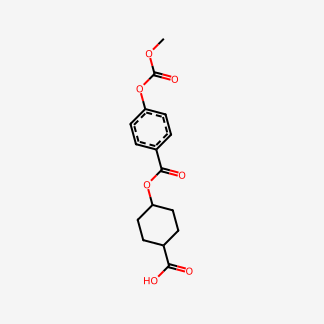 COC(=O)Oc1ccc(C(=O)OC2CCC(C(=O)O)CC2)cc1